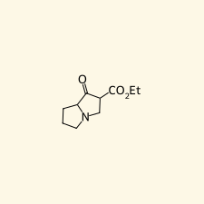 CCOC(=O)C1CN2CCCC2C1=O